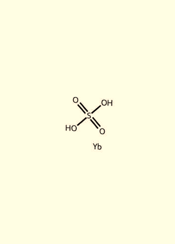 O=S(=O)(O)O.[Yb]